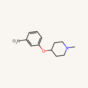 CN1CCC(Oc2cccc([N+](=O)[O-])c2)CC1